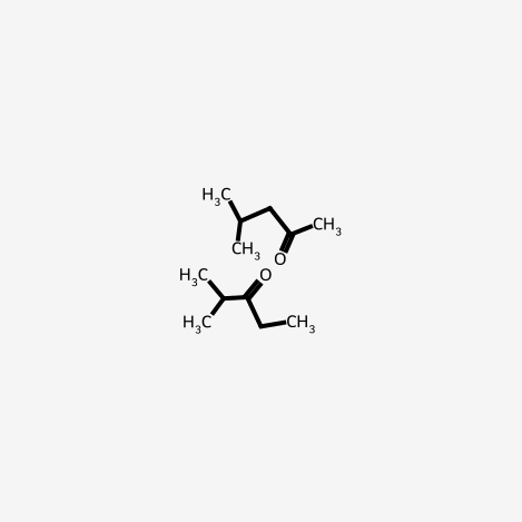 CC(=O)CC(C)C.CCC(=O)C(C)C